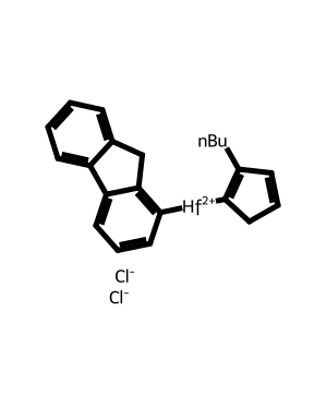 CCCCC1=[C]([Hf+2][c]2cccc3c2Cc2ccccc2-3)CC=C1.[Cl-].[Cl-]